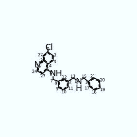 Clc1ccc2c(NCc3cccc(CNCc4ccccc4)c3)ccnc2c1